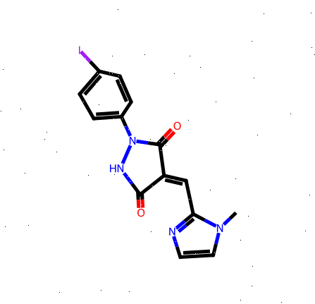 Cn1ccnc1C=C1C(=O)NN(c2ccc(I)cc2)C1=O